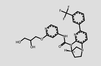 O=C(Nc1ccnc(OCC(O)CO)c1)N1c2nc(-c3cccc(C(F)(F)F)c3)ccc2N2CC[C@H]1C2